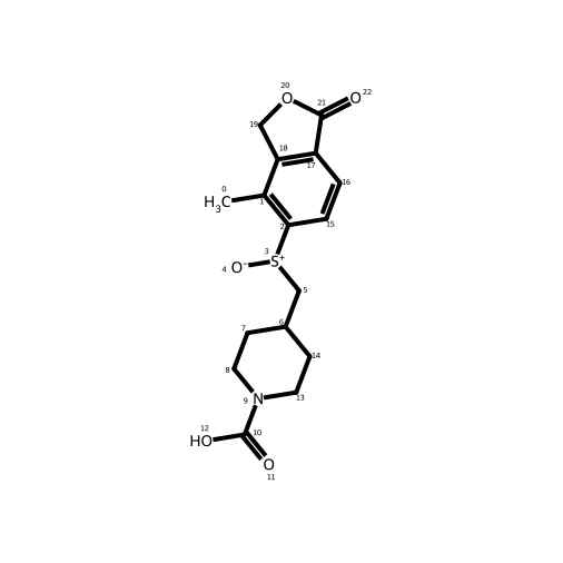 Cc1c([S+]([O-])CC2CCN(C(=O)O)CC2)ccc2c1COC2=O